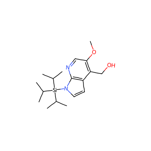 COc1cnc2c(ccn2[Si](C(C)C)(C(C)C)C(C)C)c1CO